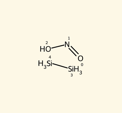 O=NO.[SiH3][SiH3]